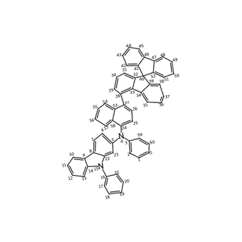 c1ccc(N(c2ccc3c4ccccc4n(-c4ccccc4)c3c2)c2ccc(-c3cccc4c3-c3ccccc3C43c4ccccc4-c4ccccc43)c3ccccc23)cc1